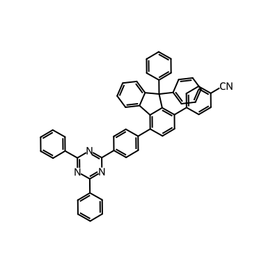 N#Cc1ccc(-c2ccc(-c3ccc(-c4nc(-c5ccccc5)nc(-c5ccccc5)n4)cc3)c3c2C(c2ccccc2)(c2ccccc2)c2ccccc2-3)cc1